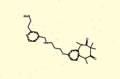 CNCCc1cc(CNCCCOc2ccc3c(c2)N(C)C(=O)C(C)(C)C(=O)N3C)ccn1